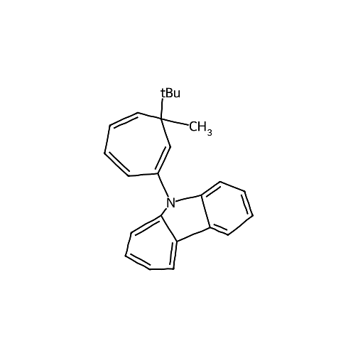 CC(C)(C)C1(C)C=CC=CC(n2c3ccccc3c3ccccc32)=C1